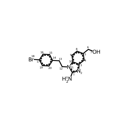 Nc1nc2cc(CO)ccc2n1CCc1ccc(Br)cc1